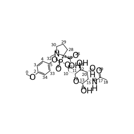 COc1ccc(OP(=O)(OC[C@H]2O[C@H](O)[C@@H](NC(C)=O)[C@@H](O)[C@@H]2O)[C@@]2(C(=O)O)CCCN2C)cc1